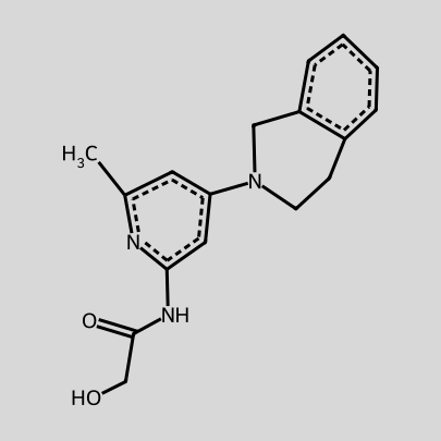 Cc1cc(N2CCc3ccccc3C2)cc(NC(=O)CO)n1